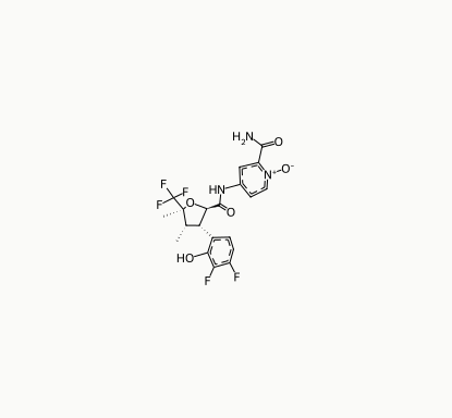 C[C@H]1[C@@H](c2ccc(F)c(F)c2O)[C@H](C(=O)Nc2cc[n+]([O-])c(C(N)=O)c2)O[C@]1(C)C(F)(F)F